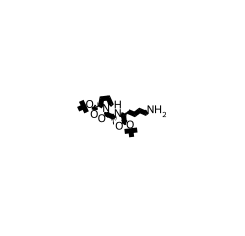 C[C@@H](N[C@@H](CCCCN)C(=O)OC(C)(C)C)C(=O)N1CCC[C@H]1C(=O)OC(C)(C)C